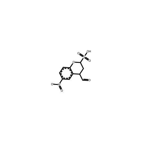 O=CC1CC(S(=O)(=O)O)Oc2ccc([N+](=O)[O-])cc21